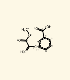 C=C(C)C(=O)OC.O=C(O)c1ccccc1